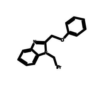 CC(C)Cn1c(COc2ccccc2)nc2ccccc21